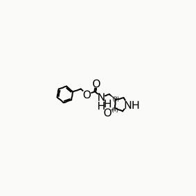 O=C(NC[C@H]1CNC[C@@H]1O)OCc1ccccc1